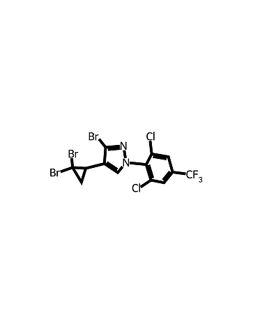 FC(F)(F)c1cc(Cl)c(-n2cc(C3CC3(Br)Br)c(Br)n2)c(Cl)c1